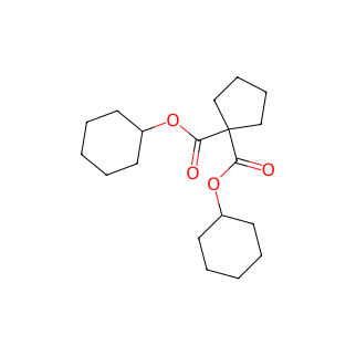 O=C(OC1CCCCC1)C1(C(=O)OC2CCCCC2)CCCC1